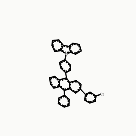 CCc1cccc(-c2ccc3c(-c4ccc(-n5c6ccccc6c6ccccc65)cc4)c4ccccc4c(-c4ccccc4)c3c2)c1